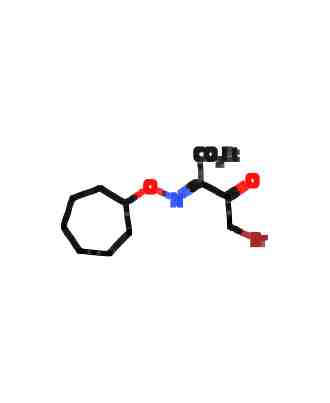 CCOC(=O)/C(=N\OC1CCCCCC1)C(=O)CBr